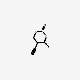 C#CC1CSS(=O)OC1C